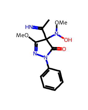 COC1=NN(c2ccccc2)C(=O)C1(C(C)=N)N(O)OC